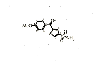 COc1ccc(C(=O)c2cc(S(N)(=O)=O)cs2)cc1